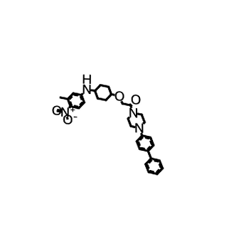 Cc1cc(NC2CCC(OCC(=O)N3CCN(c4ccc(-c5ccccc5)cc4)CC3)CC2)ccc1[N+](=O)[O-]